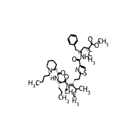 CCCCN1CCCC[C@@H]1C(=O)N[C@@H](CCC)C(=O)N(C)[C@H](CCc1nc(C(=O)N[C@@H](Cc2ccccc2)C[C@H](C)C(=O)OC)cs1)C(C)C